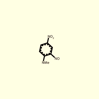 CNc1ccc([N+](=O)[O-])cc1N=O